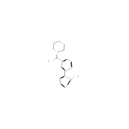 Cc1ccccc1-c1cccc(C(O)N2CCCCC2)c1